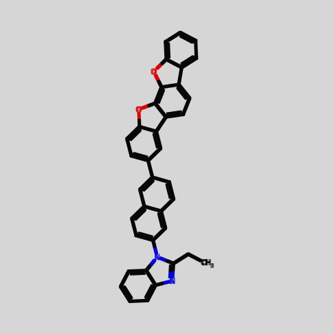 CCc1nc2ccccc2n1-c1ccc2cc(-c3ccc4oc5c(ccc6c7ccccc7oc65)c4c3)ccc2c1